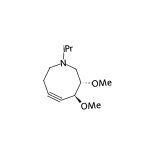 CO[C@H]1C#CCCN(C(C)C)C[C@@H]1OC